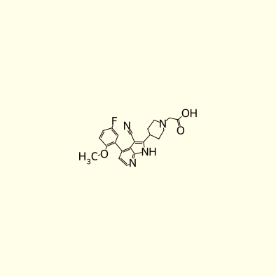 COc1ccc(F)cc1-c1ccnc2[nH]c(C3CCN(CC(=O)O)CC3)c(C#N)c12